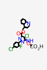 O=C(O)CONc1nc(-c2ccc(Cl)cc2F)nc(C(=O)OCc2ccnc3ccccc23)c1Cl